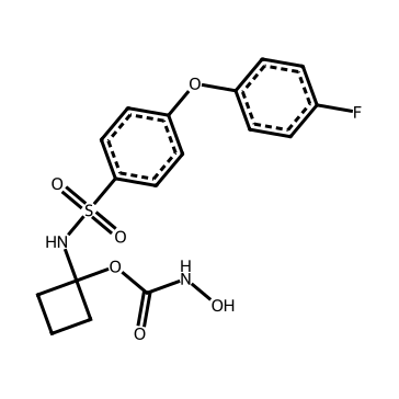 O=C(NO)OC1(NS(=O)(=O)c2ccc(Oc3ccc(F)cc3)cc2)CCC1